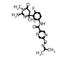 CC(C)=NOc1cnc(C(=O)Nc2ccc(F)c(C3(C)CC(=O)N(C)C(N)=N3)c2)cn1